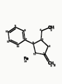 C=C1CC(CO)C(c2ccccc2)C1.[Fe]